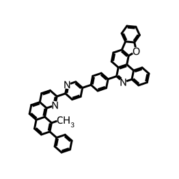 Cc1c(-c2ccccc2)ccc2ccc3ccc(-c4ccc(-c5ccc(-c6nc7ccccc7c7c6ccc6c8ccccc8oc67)cc5)cn4)nc3c12